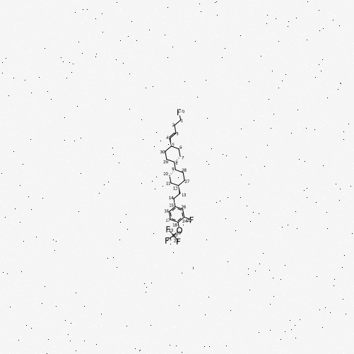 FCCC=C[C@H]1CC[C@H]([C@H]2CC[C@H](CCc3ccc(OC(F)(F)F)c(F)c3)CC2)CC1